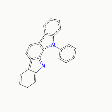 C1=CC2=c3ccc4c5ccccc5n(-c5ccccc5)c4c3=NC2=CC1